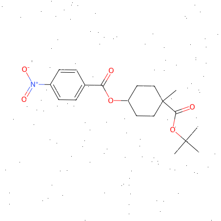 CC(C)(C)OC(=O)C1(C)CCC(OC(=O)c2ccc([N+](=O)[O-])cc2)CC1